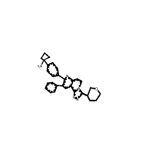 NC1(c2ccc(-c3nc4ccn5c(C6CCCOC6)nnc5c4cc3-c3ccccc3)cc2)CCC1